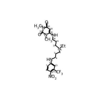 CCN(CCCNc1ccc([N+](=O)[O-])c(C(F)(F)F)c1)CCCNc1cc(=O)n(C)c(=O)n1C